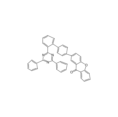 O=c1c2ccccc2oc2ccc(-c3ccc(-c4ccccc4-c4nc(-c5ccccc5)nc(-c5ccccc5)n4)cc3)cc12